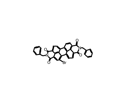 O=C1c2ccc3c4ccc5c6c(cc(Br)c(c7ccc(c2c37)C(=O)N1Cc1ccccc1)c64)C(=O)N(Cc1ccccc1)C5=O